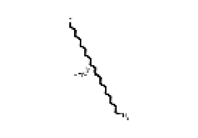 CCCCCCCCCCCCCCCCCCCCCl.Cl.Cl.P